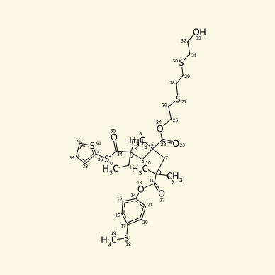 CCC(C)(CC(C)(CC(C)(C)C(=O)Oc1ccc(SC)cc1)C(=O)OCCSCCSCCO)C(=O)Sc1cccs1